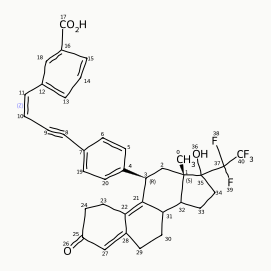 C[C@]12C[C@H](c3ccc(C#C/C=C\c4cccc(C(=O)O)c4)cc3)C3=C4CCC(=O)C=C4CCC3C1CCC2(O)C(F)(F)C(F)(F)F